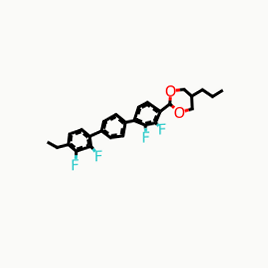 CCCC1COC(c2ccc(-c3ccc(-c4ccc(CC)c(F)c4F)cc3)c(F)c2F)OC1